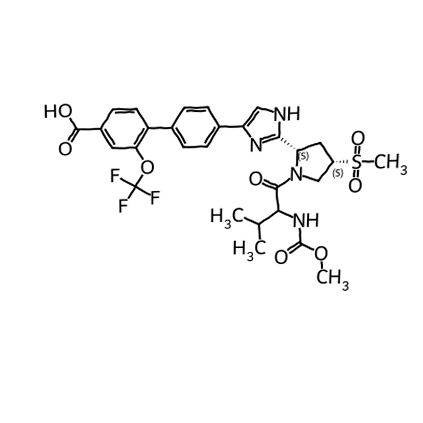 COC(=O)NC(C(=O)N1C[C@@H](S(C)(=O)=O)C[C@H]1c1nc(-c2ccc(-c3ccc(C(=O)O)cc3OC(F)(F)F)cc2)c[nH]1)C(C)C